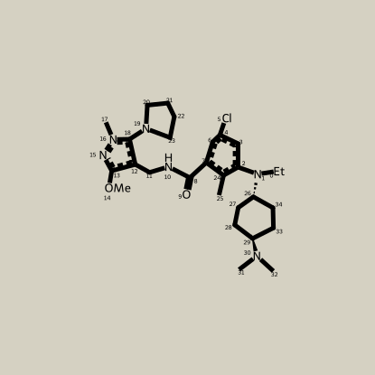 CCN(c1cc(Cl)cc(C(=O)NCc2c(OC)nn(C)c2N2CCCC2)c1C)[C@H]1CC[C@H](N(C)C)CC1